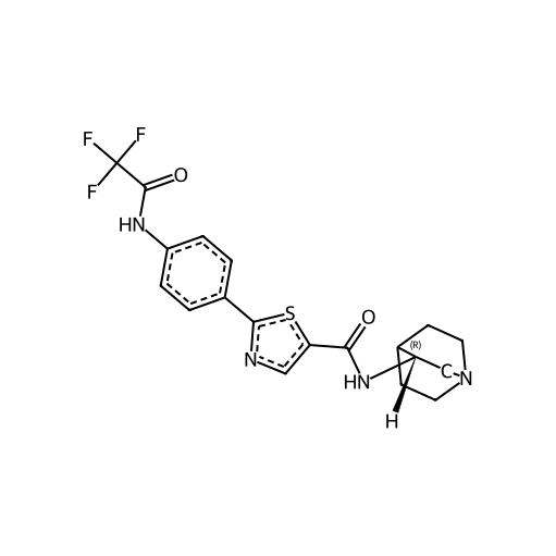 O=C(N[C@H]1CN2CCC1CC2)c1cnc(-c2ccc(NC(=O)C(F)(F)F)cc2)s1